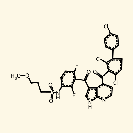 COCCCS(=O)(=O)Nc1ccc(F)c(C(=O)c2c[nH]c3nccc(C(=O)c4c(Cl)ccc(-c5ccc(Cl)cc5)c4Cl)c23)c1F